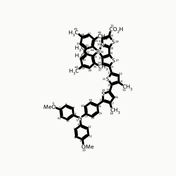 COc1ccc(N(c2ccc(OC)cc2)c2ccc(-c3sc(-c4sc(-c5cc6c(s5)-c5sc(C(=O)O)c[n+]5[B-]6(c5c(C)cc(C)cc5C)c5c(C)cc(C)cc5C)cc4C)cc3C)cc2)cc1